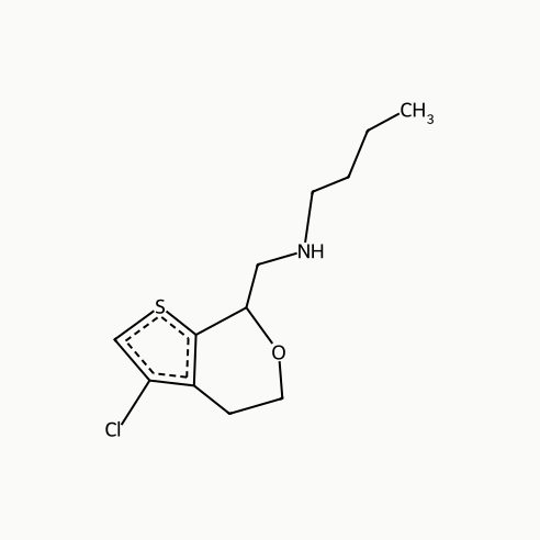 CCCCNCC1OCCc2c(Cl)csc21